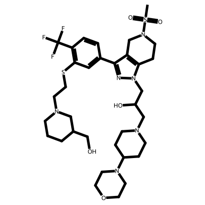 CS(=O)(=O)N1CCc2c(c(-c3ccc(C(F)(F)F)c(SCCN4CCCC(CO)C4)c3)nn2CC(O)CN2CCC(N3CCOCC3)CC2)C1